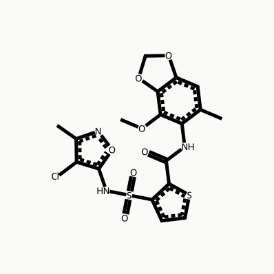 COc1c(NC(=O)c2sccc2S(=O)(=O)Nc2onc(C)c2Cl)c(C)cc2c1OCO2